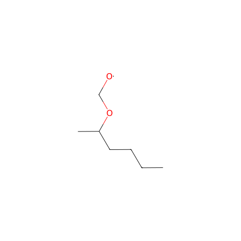 CCCCC(C)OC[O]